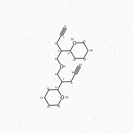 C#CCC(COCC(CC#C)C1CCCCO1)C1CCCCO1